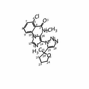 CN1C(=O)c2c(Cl)cccc2[N+]2C=NC(n3nncc3C3(C)CCCO3)=C12